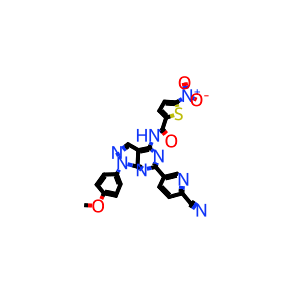 COc1ccc(-n2ncc3c(NC(=O)c4ccc([N+](=O)[O-])s4)nc(-c4ccc(C#N)nc4)nc32)cc1